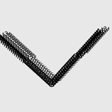 [Al+3].[Al+3].[Al+3].[Al+3].[Al+3].[Al+3].[Al+3].[Al+3].[Al+3].[Al+3].[Al+3].[Al+3].[Al+3].[Al+3].[Al+3].[Al+3].[Al+3].[Al+3].[Al+3].[Al+3].[Al+3].[Al+3].[Al+3].[Al+3].[Al+3].[Al+3].[Al+3].[Al+3].[Al+3].[Al+3].[Al+3].[O-2].[O-2].[O-2].[O-2].[O-2].[O-2].[O-2].[O-2].[O-2].[O-2].[O-2].[O-2].[O-2].[O-2].[O-2].[O-2].[O-2].[O-2].[O-2].[O-2].[O-2].[O-2].[O-2].[O-2].[O-2].[O-2].[O-2].[O-2].[O-2].[O-2].[O-2].[O-2]